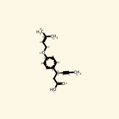 CC#C[C@@H](CC(=O)O)c1ccc(OCC=C(C)C)cc1